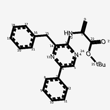 C=C(Nc1ncc(-c2ccccc2)nc1Cc1ccccc1)C(=O)OC(C)(C)C